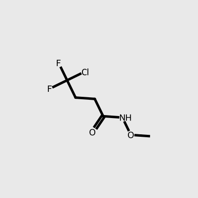 CONC(=O)CCC(F)(F)Cl